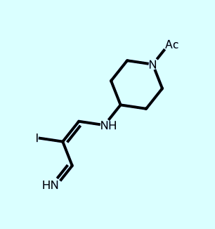 CC(=O)N1CCC(N/C=C(/I)C=N)CC1